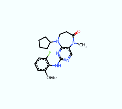 COc1cccc(F)c1Nc1ncc2c(n1)N(C1CCCC1)CCC(=O)N2C